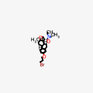 CCN(CC)C(=O)[C@H]1CO[C@@]2(C)CC[C@@H]3c4ccc(OCCCBr)cc4CC[C@H]3[C@H]12